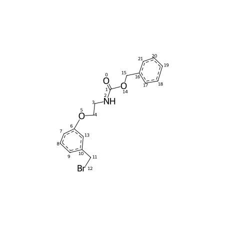 O=C(NCCOc1cccc(CBr)c1)OCc1ccccc1